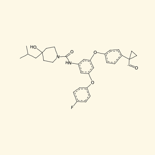 CC(C)CC1(O)CCN(C(=O)Nc2cc(Oc3ccc(F)cc3)cc(Oc3ccc(C4([C]=O)CC4)cc3)c2)CC1